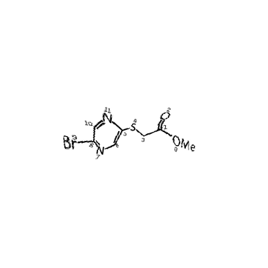 COC(=O)CSc1cnc(Br)cn1